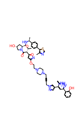 C=C(N)/C(=C\C(=N/N)c1ccccc1O)c1cnn(CC#CCN2CCN(CCOc3cc([C@H](C(=O)N4C[C@H](O)C[C@H]4C(=O)N[C@@H](C)c4ccc(-c5scnc5C)cc4)C(C)C)on3)CC2)c1